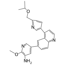 COc1ncc(-c2ccc3nccc(-c4ccc(COC(C)C)nc4)c3c2)cc1N